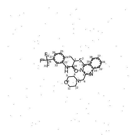 CC(Sc1nc(CN2CCOCC2)nc2ccccc12)C(=O)Nc1cccc(C(F)(F)F)c1